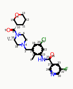 Cc1c(CN2CCN(C(=O)[C@H]3CCCOC3)[C@@H](C)C2)cc(Cl)cc1NC(=O)c1cncc(F)c1